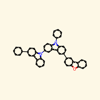 c1ccc(-c2ccc3c(c2)c2ccccc2n3-c2ccc3c(c2)c2cc(-c4ccc5oc6ccccc6c5c4)ccc2n3-c2ccccc2)cc1